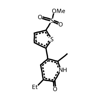 CCc1cc(-c2ccc(S(=O)(=O)OC)s2)c(C)[nH]c1=O